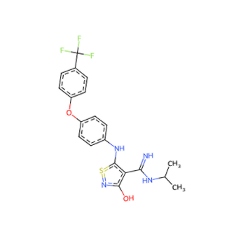 CC(C)NC(=N)c1c(O)nsc1Nc1ccc(Oc2ccc(C(F)(F)F)cc2)cc1